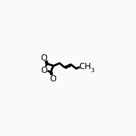 CC/C=C/CC1C(=O)OC1=O